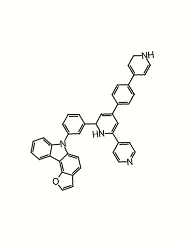 C1=CC(c2ccc(C3=CC(c4cccc(-n5c6ccccc6c6c7occc7ccc65)c4)NC(c4ccncc4)=C3)cc2)=CCN1